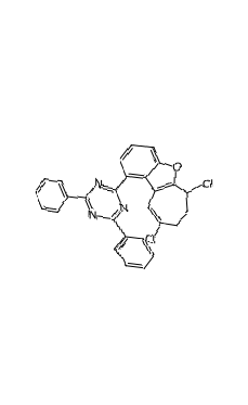 ClC1=Cc2c(oc3cccc(-c4nc(-c5ccccc5)nc(-c5ccccc5)n4)c23)C(Cl)CC1